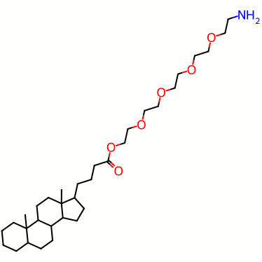 CC12CCCCC1CCC1C2CCC2(C)C(CCCC(=O)OCCOCCOCCOCCOCCN)CCC12